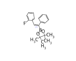 CC1(C)OB(/C(=C/c2ccccc2F)c2ccccc2)OC1(C)C